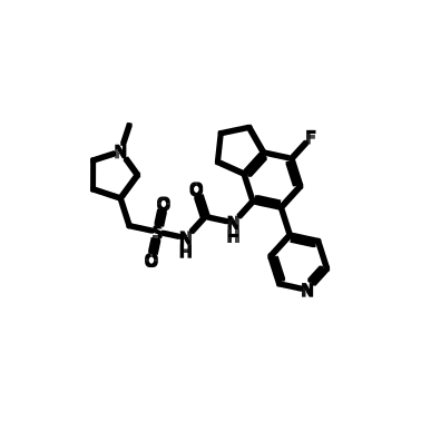 CN1CCC(CS(=O)(=O)NC(=O)Nc2c(-c3ccncc3)cc(F)c3c2CCC3)C1